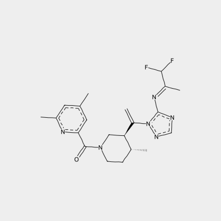 C=C([C@@H]1CN(C(=O)c2cc(C)cc(C)n2)CC[C@H]1C)n1ncnc1/N=C(\C)C(F)F